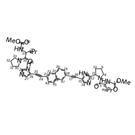 COC(=O)N[C@H](C(=O)N1CCCC1c1ncc(C#Cc2ccc3cc(C#Cc4cnc([C@@H]5CCCN5C(=O)[C@@H](NC(=O)OC)C(C)C)[nH]4)ccc3c2)[nH]1)C(C)C